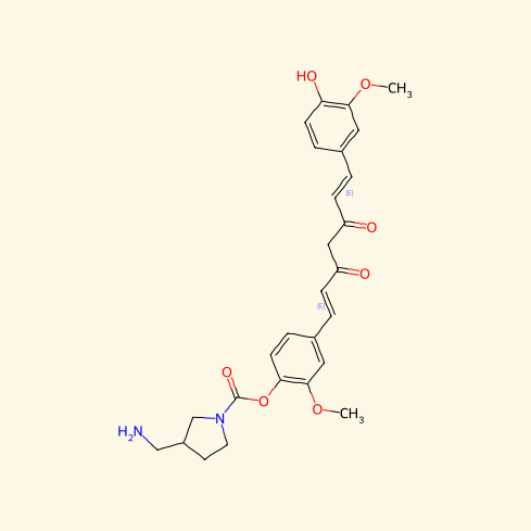 COc1cc(/C=C/C(=O)CC(=O)/C=C/c2ccc(OC(=O)N3CCC(CN)C3)c(OC)c2)ccc1O